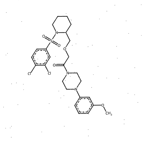 COc1cccc(N2CCN(C(=O)COCC3CCCCN3S(=O)(=O)c3ccc(Cl)c(Cl)c3)CC2)c1